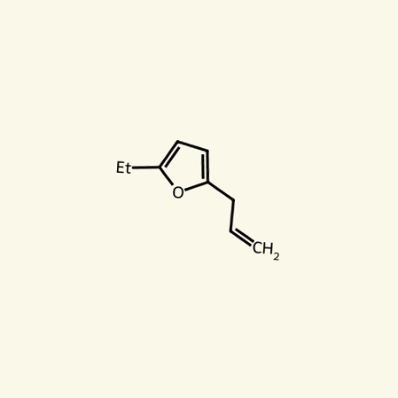 C=CCc1ccc(CC)o1